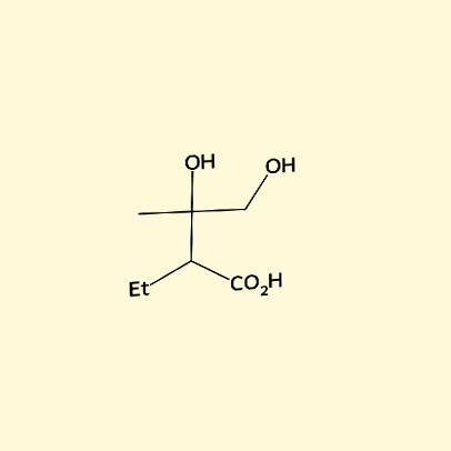 CCC(C(=O)O)C(C)(O)CO